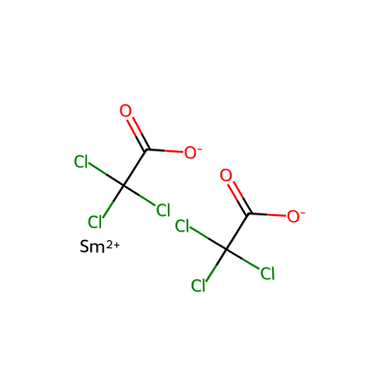 O=C([O-])C(Cl)(Cl)Cl.O=C([O-])C(Cl)(Cl)Cl.[Sm+2]